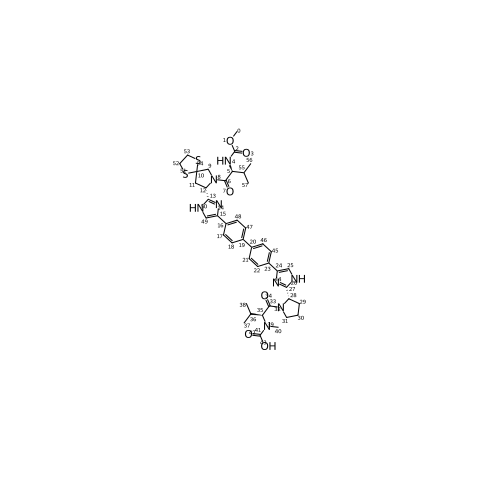 COC(=O)N[C@H](C(=O)N1CC2(C[C@H]1c1nc(-c3ccc(-c4ccc(-c5c[nH]c([C@@H]6CCCN6C(=O)[C@H](C(C)C)N(C)C(=O)O)n5)cc4)cc3)c[nH]1)SCCS2)C(C)C